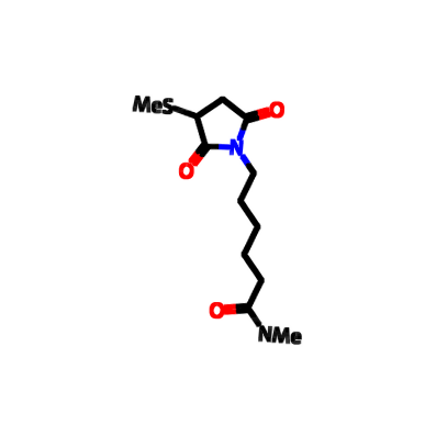 CNC(=O)CCCCCN1C(=O)CC(SC)C1=O